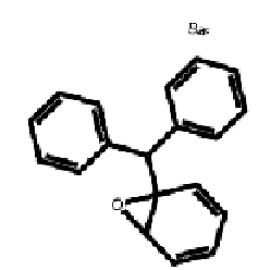 C1=CC2OC2(C(c2ccccc2)c2ccccc2)C=C1.[Ba]